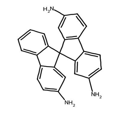 Nc1ccc2c(c1)C1(c3ccccc3-2)c2cc(N)ccc2-c2ccc(N)cc21